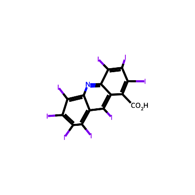 O=C(O)c1c(I)c(I)c(I)c2nc3c(I)c(I)c(I)c(I)c3c(I)c12